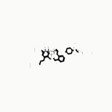 C=CCCc1cc(C)[nH]c(=O)c1CNC(=O)c1cccc(O[C@H]2CC[C@H](NC(=O)OC(C)(C)C)CC2)c1CC=C